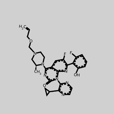 C=CCOCN1CCN(c2nc(=O)n(-c3nccnc3C3CC3)c3nc(-c4c(O)cccc4F)c(F)cc23)[C@@H](C)C1